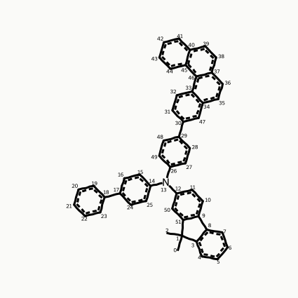 CC1(C)c2ccccc2-c2ccc(N(c3ccc(-c4ccccc4)cc3)c3ccc(-c4ccc5c(ccc6ccc7ccccc7c65)c4)cc3)cc21